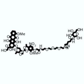 COc1cc(C(C)OC(=O)N2COC3C(C)OC(OC4CC(O)(C(=O)CO)Cc5c(O)c6c(c(O)c54)C(=O)c4c(OC)cccc4C6=O)CC32)c([N+](=O)[O-])cc1OCC(=O)NCCOCCOCCOCCn1cc(CCC(=O)NC2C(O)OC(CO)C(O)C2O)nn1